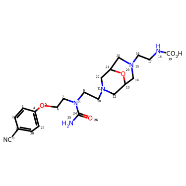 N#Cc1ccc(OCCN(CCN2CC3CN(CCNC(=O)O)CC(C2)O3)C(N)=O)cc1